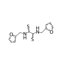 S=C(NCc1ccco1)C(=S)NCc1ccco1